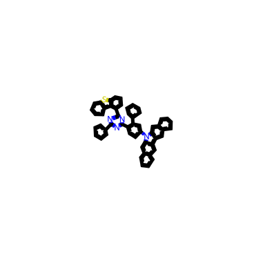 c1ccc(-c2nc(-c3ccc(-n4c5cc6ccccc6cc5c5cc6ccccc6cc54)cc3-c3ccccc3)nc(-c3cccc4sc5ccccc5c34)n2)cc1